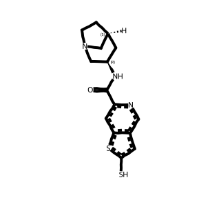 O=C(N[C@@H]1C[C@@H]2CCN(C2)C1)c1cc2sc(S)cc2cn1